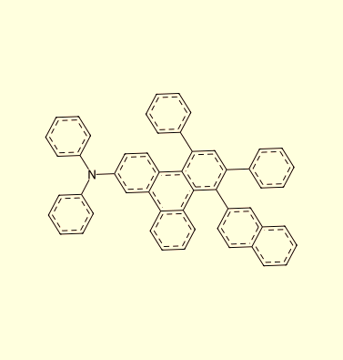 c1ccc(-c2cc(-c3ccccc3)c3c4ccc(N(c5ccccc5)c5ccccc5)cc4c4ccccc4c3c2-c2ccc3ccccc3c2)cc1